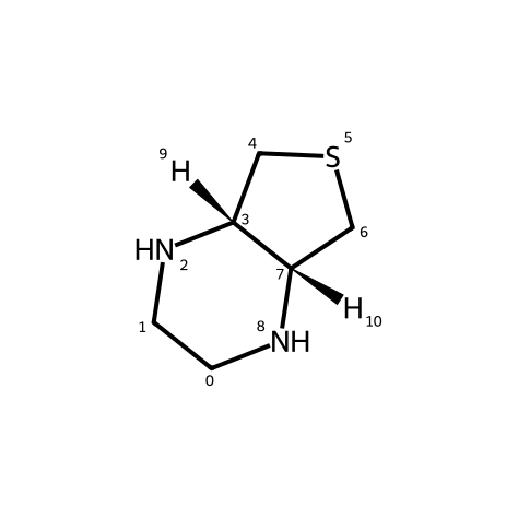 C1CN[C@@H]2CSC[C@@H]2N1